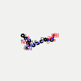 [2H]C([2H])([2H])Oc1ncc(-c2ccnc(N3CCc4c(sc5c4CCCC5)C3=O)c2C(C)(C)O)cc1Nc1ccc(N2CCN(C3CCN(c4ccc5c(c4)C(=O)N([C@H]4CCC(=O)N(COP(=O)(O)O)C4=O)C5=O)[C@@H](C)C3)C[C@@H]2C)cn1